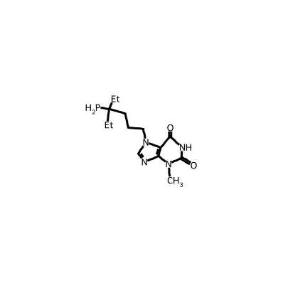 CCC(P)(CC)CCCn1cnc2c1c(=O)[nH]c(=O)n2C